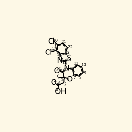 CC1(CC(=O)O)Oc2ccccc2N(c2nc3c(Cl)c(Cl)ccc3s2)C1=O